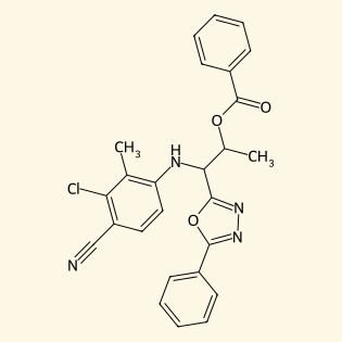 Cc1c(NC(c2nnc(-c3ccccc3)o2)C(C)OC(=O)c2ccccc2)ccc(C#N)c1Cl